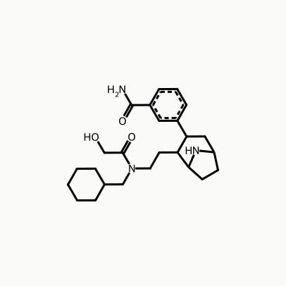 NC(=O)c1cccc(C2CC3CCC(N3)C2CCN(CC2CCCCC2)C(=O)CO)c1